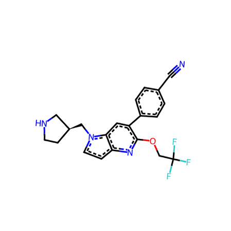 N#Cc1ccc(-c2cc3c(ccn3C[C@H]3CCNC3)nc2OCC(F)(F)F)cc1